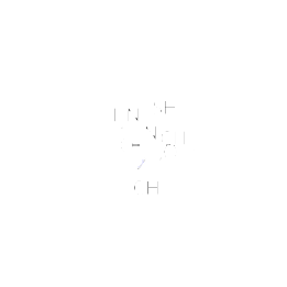 C/C=C(\C=O)C(=O)N(C)C(N)S